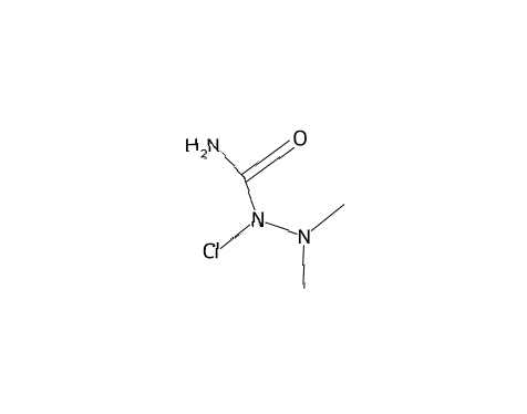 CN(C)N(Cl)C(N)=O